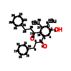 CC(C)(C)c1c(O)cc(C(=O)CCc2ccccc2)c(C(=O)CCc2ccccc2)c1C(C)(C)C